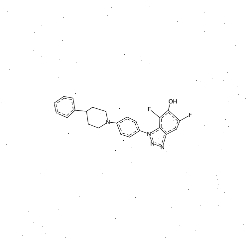 Oc1c(F)cc2nnn(-c3ccc(N4CCC(c5ccccc5)CC4)cc3)c2c1F